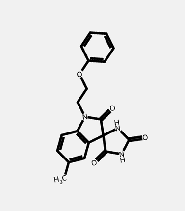 Cc1ccc2c(c1)C1(NC(=O)NC1=O)C(=O)N2CCOc1ccccc1